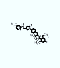 CCc1cc(F)cc(C)c1C(=O)NC(Cc1ccc(N2CC(CNc3cc(C)ccn3)CC2=O)cc1)C(=O)O